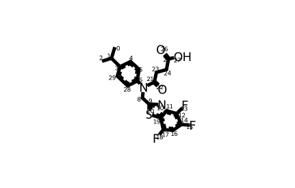 CC(C)c1ccc(N(Cc2nc3c(F)c(F)cc(F)c3s2)C(=O)CCC(=O)O)cc1